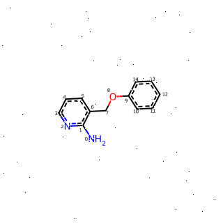 Nc1ncccc1COc1ccccc1